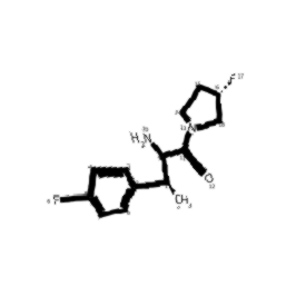 C[C@@H](c1ccc(F)cc1)C(N)C(=O)N1CC[C@H](F)C1